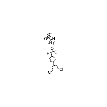 Cn1c(COC(=O)Nc2ccc(N(CCCl)CCCl)cc2)cnc1[N+](=O)[O-]